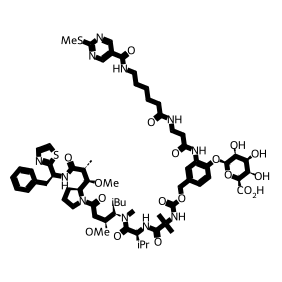 CC[C@H](C)[C@@H]([C@@H](CC(=O)N1CCC[C@H]1[C@H](OC)[C@@H](C)C(=O)N[C@@H](Cc1ccccc1)c1nccs1)OC)N(C)C(=O)[C@@H](NC(=O)C(C)(C)NC(=O)OCc1ccc(O[C@@H]2O[C@H](C(=O)O)[C@@H](O)[C@H](O)[C@H]2O)c(NC(=O)CCNC(=O)CCCCCNC(=O)c2cnc(SC)nc2)c1)C(C)C